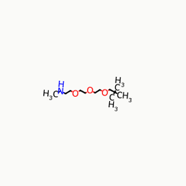 CNCCOCCOCCOCC(C)(C)C